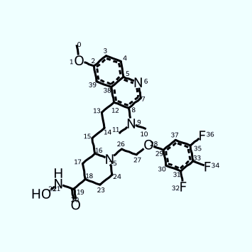 COc1ccc2ncc(N(C)C)c(CCCC3CC(C(=O)NO)CCN3CCOc3cc(F)c(F)c(F)c3)c2c1